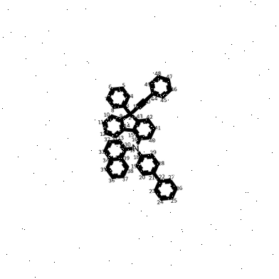 C(#CC1(c2ccccc2)c2ccccc2-c2c(N(c3ccc(-c4ccccc4)cc3)c3cccc4ccccc34)cccc21)c1ccccc1